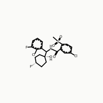 CS(=O)(=O)c1ccc(Cl)cc1C(=O)NC(c1cccc(F)c1Cl)[C@]1(O)CC[C@@H](F)CC1